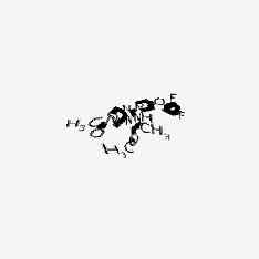 COCC(C)Nc1nc2c(nc1N1CCC(Oc3ccc(F)cc3F)CC1)CCN(C(C)=O)C2